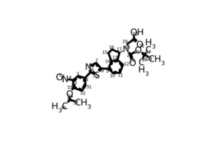 [C-]#[N+]c1cc(-c2ncc(-c3cccc4c3CC[C@@H]4N(CC(=O)O)C(=O)OC(C)(C)C)s2)ccc1OC(C)C